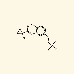 B/C(=N\c1cc(SCC(F)(F)F)ccc1Cl)C1(Cl)CC1